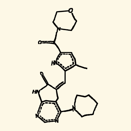 Cc1cc(C(=O)N2CCOCC2)[nH]c1C=C1C(=O)Nc2ncnc(N3CCCCC3)c21